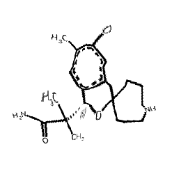 Cc1cc2c(cc1Cl)C1(CCNCC1)O[C@@H]2C(C)(C)C(N)=O